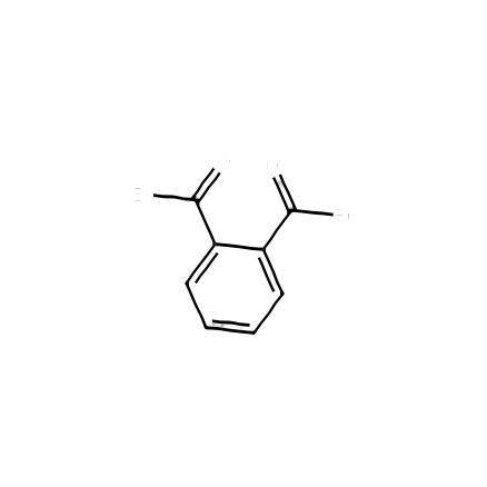 CCC(=O)c1ccccc1C(=O)CC